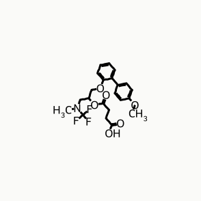 COc1ccc(-c2ccccc2OCC(CN(C)C(F)(F)F)OC(=O)CCC(=O)O)cc1